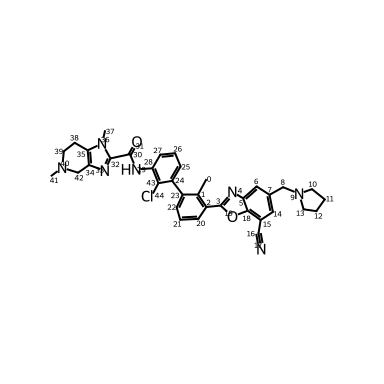 Cc1c(-c2nc3cc(CN4CCCC4)cc(C#N)c3o2)cccc1-c1cccc(NC(=O)c2nc3c(n2C)CCN(C)C3)c1Cl